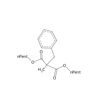 CCCCCOC(=O)C(C)(Cc1ccccc1)C(=O)OCCCCC